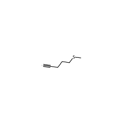 [C]#CCCCSC